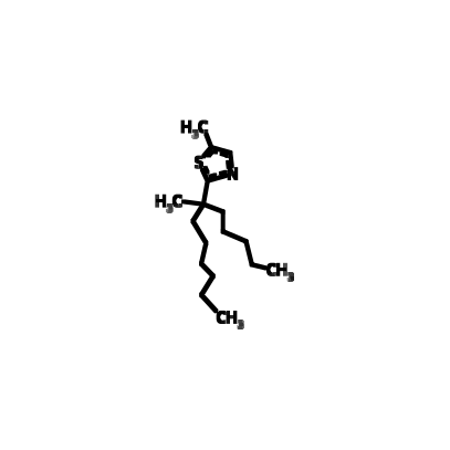 CCCCCCC(C)(CCCCC)c1ncc(C)s1